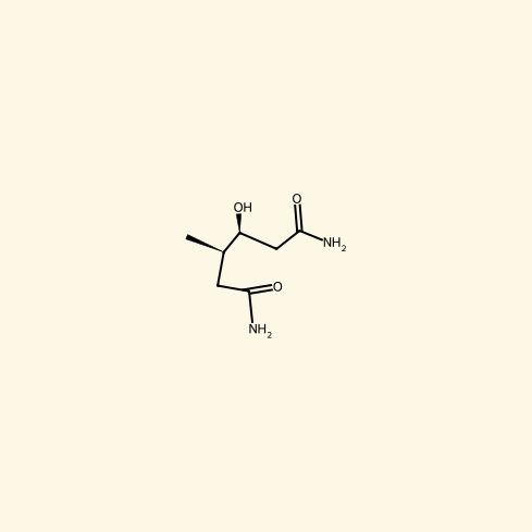 C[C@H](CC(N)=O)[C@@H](O)CC(N)=O